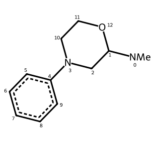 CNC1CN(c2ccccc2)CCO1